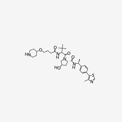 Cc1ncsc1-c1ccc([C@H](C)NC(=O)[C@@H]2C[C@@H](O)CN2C(=O)C(NC(=O)CCCOC2CCNCC2)C(C)(C)C)cc1